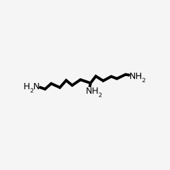 NCCCCCCC(N)CCCCCN